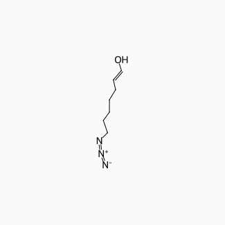 [N-]=[N+]=NCCCCCC=CO